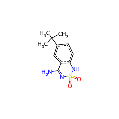 CC(C)(C)c1ccc2c(c1)C(N)=NS(=O)(=O)N2